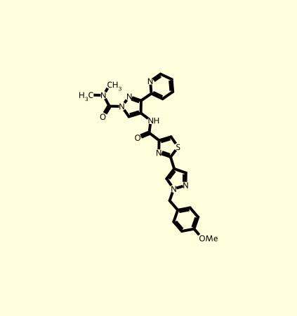 COc1ccc(Cn2cc(-c3nc(C(=O)Nc4cn(C(=O)N(C)C)nc4-c4ccccn4)cs3)cn2)cc1